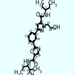 CCC(CC)NC(=O)c1cc(-c2cccc(-c3ncc(C(=O)NC(CC)C(C)C)o3)c2)nn1CCO